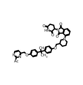 CC(=O)c1nccc(COc2ccc(C(C)(C)c3ccc(OCC4CCCN(c5cccc6c5C(=O)N(C5CCC(=O)NC5=O)C6=O)C4)cc3)cc2)n1